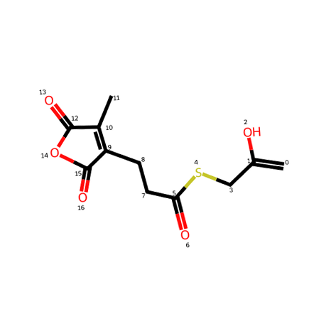 C=C(O)CSC(=O)CCC1=C(C)C(=O)OC1=O